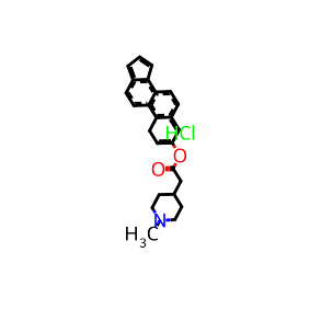 CN1CCC(CC(=O)OC2=CCc3c(ccc4c5c(ccc34)=CC=C5)=C2)CC1.Cl